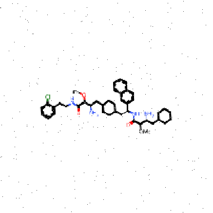 COC(C(=O)N[C@@H](CC1CCC(C[C@@H](N)C(OC(C)C)C(=O)NCCc2ccccc2Cl)CC1)c1ccc2ccccc2c1)[C@H](N)CC1CCCCC1